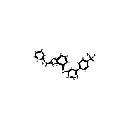 FC(F)(F)c1ccc(-c2cc(Oc3cccc4sc(Nc5ccccn5)nc34)ncn2)cc1